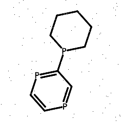 c1cpc(P2CCCCC2)cp1